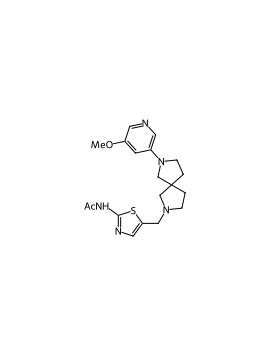 COc1cncc(N2CCC3(CCN(Cc4cnc(NC(C)=O)s4)C3)C2)c1